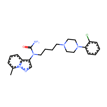 Cc1cccc2c(N(CCCCN3CCN(c4ccccc4Cl)CC3)C(N)=O)cnn12